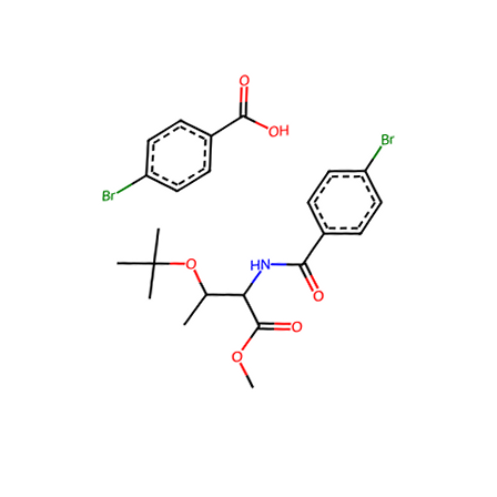 COC(=O)C(NC(=O)c1ccc(Br)cc1)C(C)OC(C)(C)C.O=C(O)c1ccc(Br)cc1